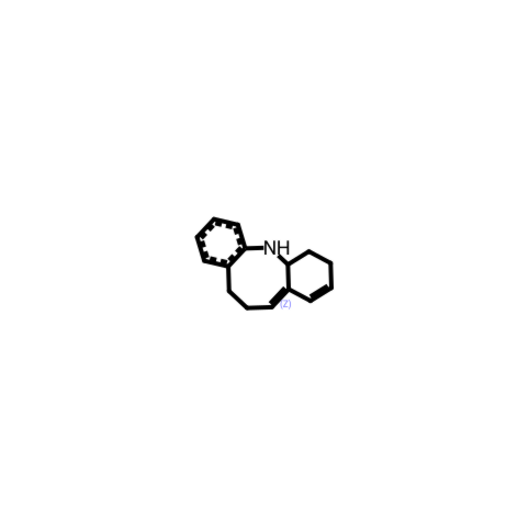 C1=C/C2=C/CCc3ccccc3NC2CC1